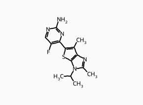 Cc1c(-c2nc(N)ncc2F)sc2c1nc(C)n2C(C)C